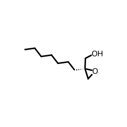 CCCCCCC[C@@]1(CO)CO1